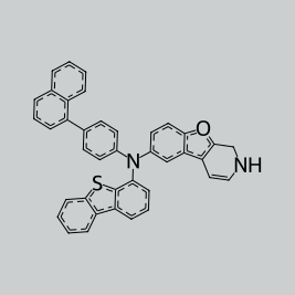 C1=Cc2c(oc3ccc(N(c4ccc(-c5cccc6ccccc56)cc4)c4cccc5c4sc4ccccc45)cc23)CN1